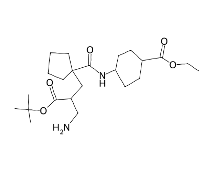 CCOC(=O)C1CCC(NC(=O)C2(CC(CN)C(=O)OC(C)(C)C)CCCC2)CC1